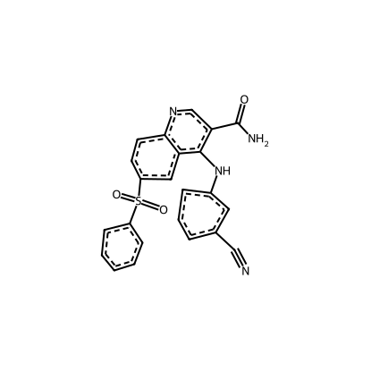 N#Cc1cccc(Nc2c(C(N)=O)cnc3ccc(S(=O)(=O)c4ccccc4)cc23)c1